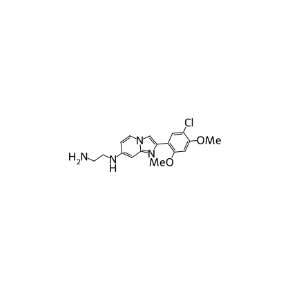 COc1cc(OC)c(-c2cn3ccc(NCCN)cc3n2)cc1Cl